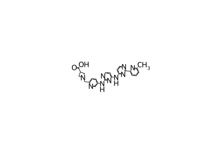 Cc1cccc(-c2nccc(Nc3ccnc(Nc4ccc(CN5CC(C(=O)O)C5)nc4)n3)n2)n1